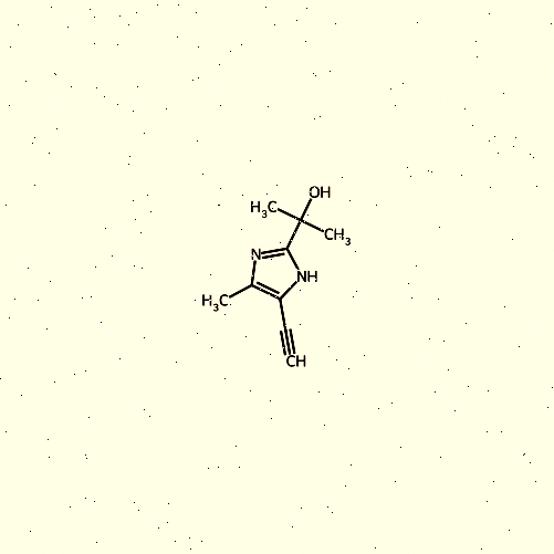 C#Cc1[nH]c(C(C)(C)O)nc1C